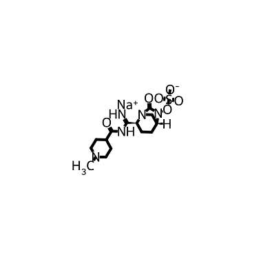 CN1CCC(C(=O)NC(=N)[C@@H]2CC[C@@H]3CN2C(=O)N3OS(=O)(=O)[O-])CC1.[Na+]